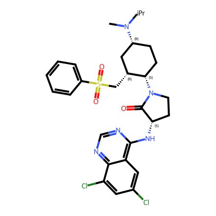 CC(C)N(C)[C@@H]1CC[C@H](N2CC[C@H](Nc3ncnc4c(Cl)cc(Cl)cc34)C2=O)[C@H](CS(=O)(=O)c2ccccc2)C1